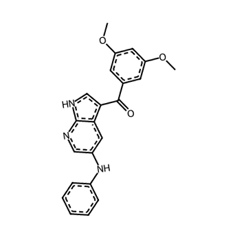 COc1cc(OC)cc(C(=O)c2c[nH]c3ncc(Nc4ccccc4)cc23)c1